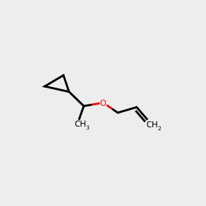 C=CCO[C](C)C1CC1